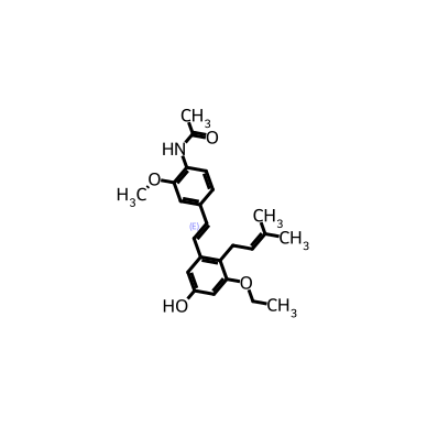 CCOc1cc(O)cc(/C=C/c2ccc(NC(C)=O)c(OC)c2)c1CC=C(C)C